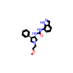 COCCN1C[C@@H](NC(=O)Nc2cccc3cn[nH]c23)[C@H](c2ccccc2)C1